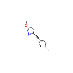 COc1ccc(C#Cc2ccc(I)cc2)nc1